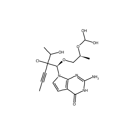 CC#CC(Cl)(C(C)O)[C@@H](OC[C@H](C)OC(O)O)n1ccc2c(=O)[nH]c(N)nc21